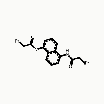 CC(C)CC(=O)Nc1cccc2c(NC(=O)CC(C)C)cccc12